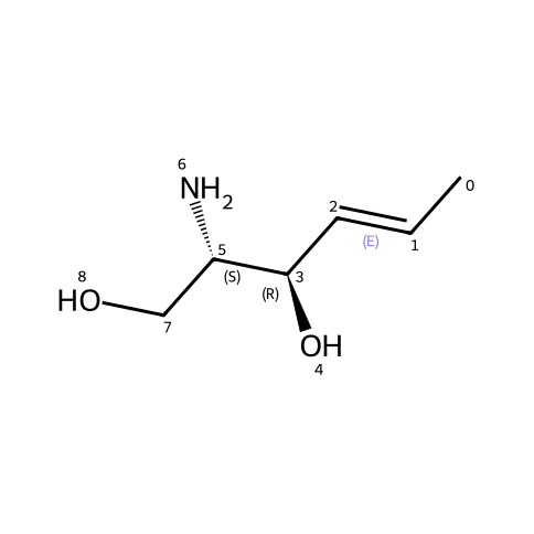 C/C=C/[C@@H](O)[C@@H](N)CO